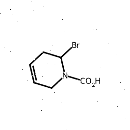 O=C(O)N1CC=CCC1Br